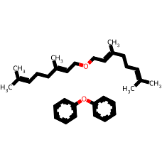 CC(C)=CCC/C(C)=C/COC/C=C(\C)CCC=C(C)C.c1ccc(Oc2ccccc2)cc1